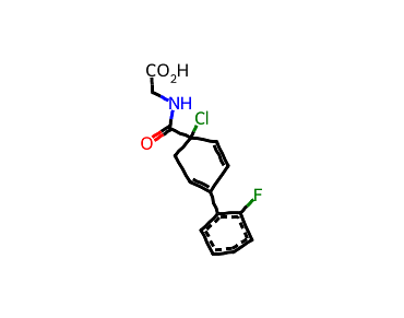 O=C(O)CNC(=O)C1(Cl)C=CC(c2ccccc2F)=CC1